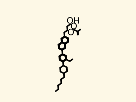 C=C(C)C(=O)OC(CCO)Cc1ccc2cc(-c3ccc(C4CCC(CCCCCC)CC4)c(CC)c3)ccc2c1